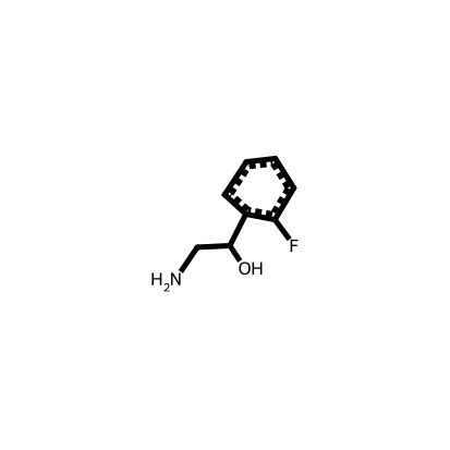 NCC(O)c1ccccc1F